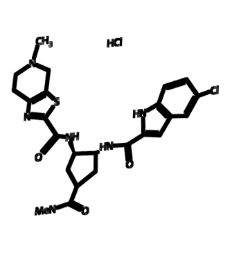 CNC(=O)C1C[C@@H](NC(=O)c2cc3cc(Cl)ccc3[nH]2)[C@H](NC(=O)c2nc3c(s2)CN(C)CC3)C1.Cl